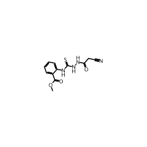 COC(=O)c1ccccc1NC(=S)NNC(=O)CC#N